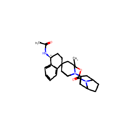 CCOC(=O)N1C2CCC1CC(N1CCC3(CC[C@H](NC(C)=O)c4ccccc43)CC1)C2